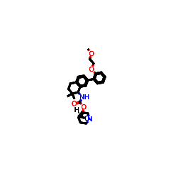 COCCOc1ccccc1-c1ccc2c(c1)C(NC(=O)O[C@H]1CN3CCC1CC3)C(C)(C)CC2